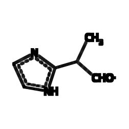 CC([C]=O)c1ncc[nH]1